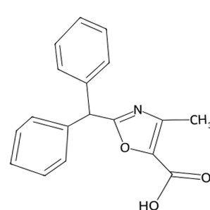 Cc1nc(C(c2ccccc2)c2ccccc2)oc1C(=O)O